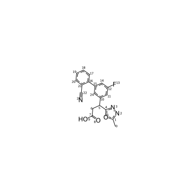 Cc1nnc(C(CC(=O)O)c2cc(F)cc(-c3ccccc3C#N)c2)o1